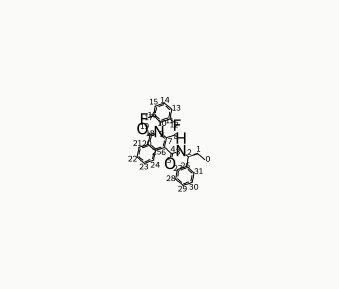 CC[C@H](NC(=O)c1c(C)n(-c2c(F)cccc2F)c(=O)c2ccccc12)c1ccccc1